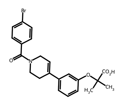 CC(C)(Oc1cccc(C2=CCN(C(=O)c3ccc(Br)cc3)CC2)c1)C(=O)O